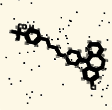 CC(C)(C(=O)O)c1ccc(CCCCN2CCC(=C3c4ccc(Cl)cc4CCc4cccnc43)CC2)cc1